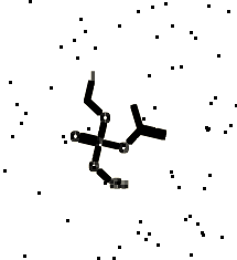 C=C(C)OP(=O)(OCI)OC(C)(C)C